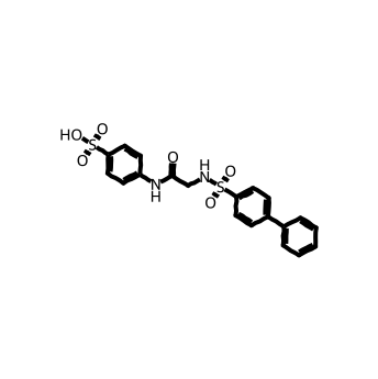 O=C(CNS(=O)(=O)c1ccc(-c2ccccc2)cc1)Nc1ccc(S(=O)(=O)O)cc1